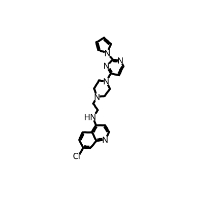 Clc1ccc2c(NCCN3CCN(c4ccnc(-n5cccc5)n4)CC3)ccnc2c1